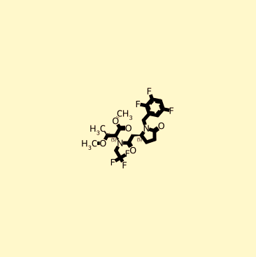 COC(=O)[C@H]([C@@H](C)OC)N(CC(F)(F)F)C(=O)C[C@@H]1CCC(=O)N1Cc1cc(F)cc(F)c1F